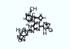 C#C[C@H]1CC[C@H](Cn2c(N(C)Cc3nonc3C)nc3nc(-c4noc(=O)[nH]4)nc(N[C@H](C)C4CCC4)c32)CC1